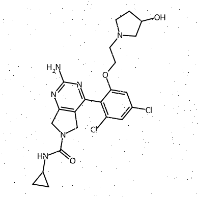 Nc1nc2c(c(-c3c(Cl)cc(Cl)cc3OCCN3CCC(O)C3)n1)CN(C(=O)NC1CC1)C2